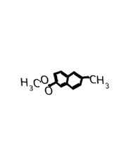 CCc1ccc2cc(C(=O)OC)ccc2c1